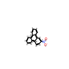 O=[N+]([O-])c1[c]c2c3ccccc3c3ccccc3c2cc1